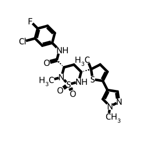 CN1[C@H](C(=O)Nc2ccc(F)c(Cl)c2)C[C@H](C2(C)CC=C(c3cnn(C)c3)S2)NS1(=O)=O